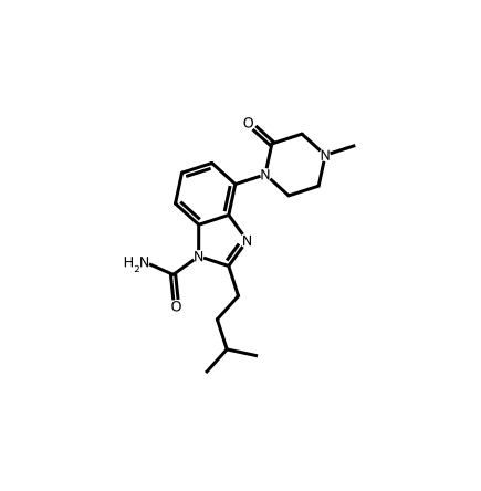 CC(C)CCc1nc2c(N3CCN(C)CC3=O)cccc2n1C(N)=O